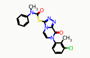 Cc1c(Cl)cccc1-n1ccn2c(SC(=O)N(C)c3ccccc3)nnc2c1=O